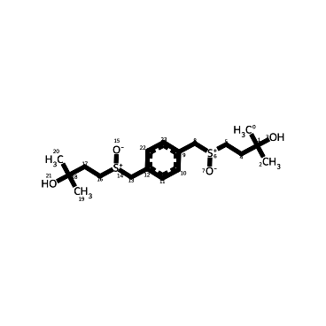 CC(C)(O)CC[S+]([O-])Cc1ccc(C[S+]([O-])CCC(C)(C)O)cc1